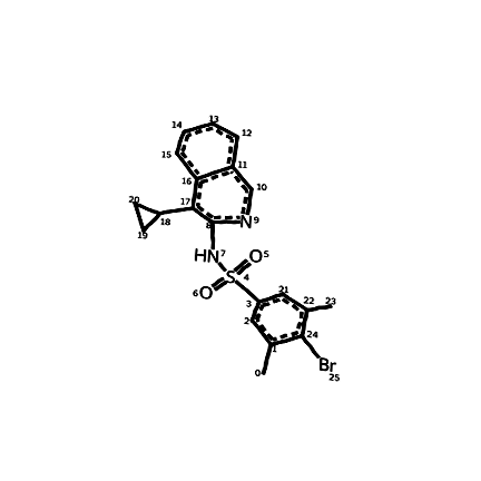 Cc1cc(S(=O)(=O)Nc2ncc3ccccc3c2C2CC2)cc(C)c1Br